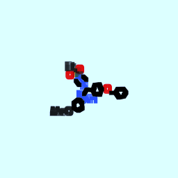 CCS(=O)(=O)N1CCN(C(c2ccc(OCc3ccccc3)cc2)c2nc3cc(OC)ccc3[nH]2)CC1